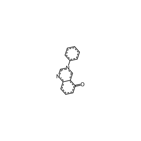 O=c1cccc2ncn(-c3ccccc3)cc1-2